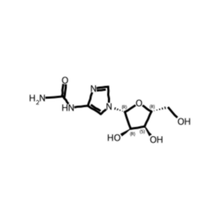 NC(=O)Nc1cn([C@@H]2O[C@H](CO)[C@@H](O)[C@H]2O)cn1